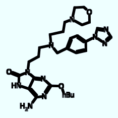 CCCCOc1nc(N)c2[nH]c(=O)n(CCCN(CCCN3CCOCC3)Cc3ccc(-n4cncn4)cc3)c2n1